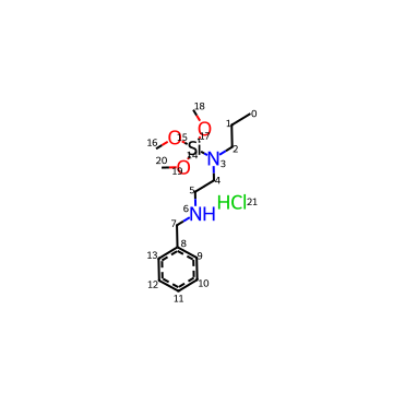 CCCN(CCNCc1ccccc1)[Si](OC)(OC)OC.Cl